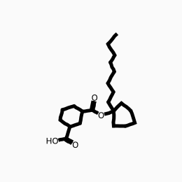 CCCCCCCCC1(OC(=O)C2CCCC(C(=O)O)C2)CCCCC1